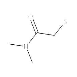 CN(C)C(=O)C[S]